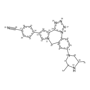 CC1CN(c2ccc3c(c2)Cn2cc(-c4ccc(C#N)cc4)cc2-c2nnnn2-3)CC(C)N1